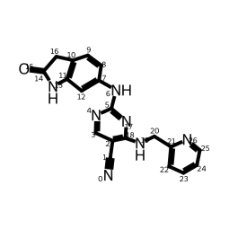 N#Cc1cnc(Nc2ccc3c(c2)NC(=O)C3)nc1NCc1ccccn1